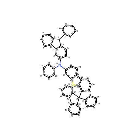 c1ccc(C2c3ccccc3-c3cc(N(c4ccccc4)c4ccc5c(c4)sc4c(C6(c7ccccc7)c7ccccc7-c7ccccc76)cccc45)ccc32)cc1